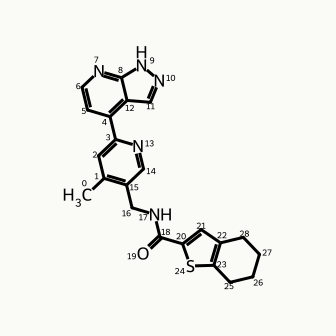 Cc1cc(-c2ccnc3[nH]ncc23)ncc1CNC(=O)c1cc2c(s1)CCCC2